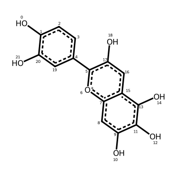 Oc1ccc(-c2[o+]c3cc(O)c(O)c(O)c3cc2O)cc1O